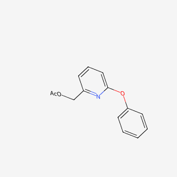 CC(=O)OCc1cccc(Oc2ccccc2)n1